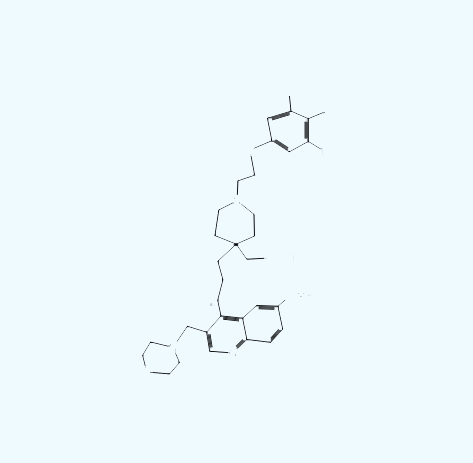 COc1ccc2ncc(CN3CCOCC3)c([C@H](F)CCC3(CC(=O)O)CCN(CCSc4cc(F)c(F)c(F)c4)CC3)c2c1